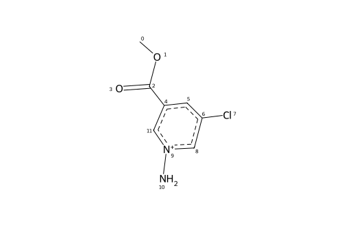 COC(=O)c1cc(Cl)c[n+](N)c1